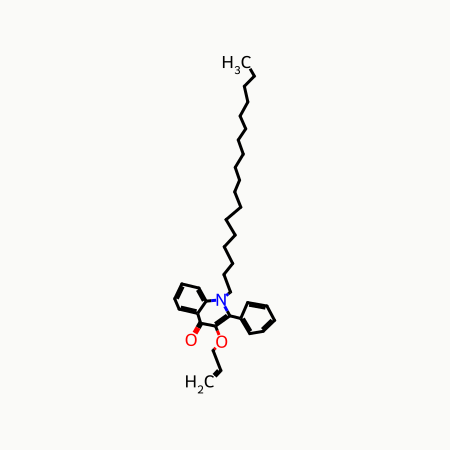 C=CCOc1c(-c2ccccc2)n(CCCCCCCCCCCCCCCCCC)c2ccccc2c1=O